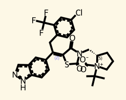 CC(C)(C)[N+]1(C(=O)[O-])CCC[C@H]1CN1C(=O)S/C(=C(/Cc2ccc(Cl)cc2C(F)(F)F)c2ccc3[nH]ncc3c2)C1=O